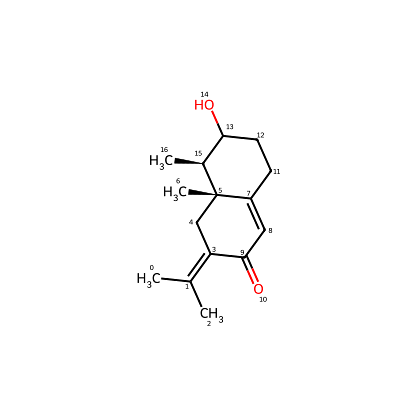 CC(C)=C1C[C@@]2(C)C(=CC1=O)CCC(O)[C@@H]2C